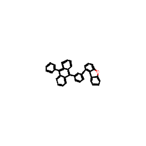 c1ccc(-c2c3ccccc3c(-c3cccc(-c4cccc5oc6ccccc6c45)c3)c3ccccc23)cc1